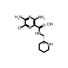 Cl.Nc1nc(N)c(C(=O)NC[C@H]2CCCCN2)nc1Cl